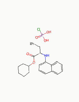 CC(C)CC(Nc1cccc2ccccc12)C(=O)OC1CCCCC1.O=P(O)(O)Cl